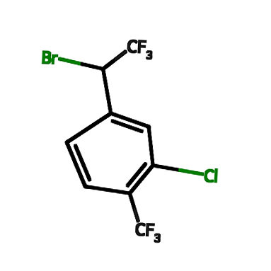 FC(F)(F)c1ccc(C(Br)C(F)(F)F)cc1Cl